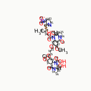 COc1cc2c(cc1OCCCOc1cc3c(cc1OC)C(=O)N1CCC[C@H]1[C@H](O)N3C(=O)OC[C@@H](C)SSc1ncccc1[N+](=O)[O-])N(C(=O)O)[C@@H](O)[C@@H]1CCCN1C2=O